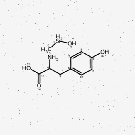 C[SiH2]O.NC(Cc1ccc(O)cc1)C(=O)O